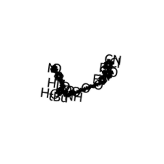 CC(C)(C)[C@H](NC(=O)COCCCOCCCCOc1ccc(N2C(=S)N(c3cc(Cl)c(C#N)cc3F)C(=O)C2(C)C)cc1F)C(=O)N1C[C@H](O)CC1C(=O)NCc1ccc(-c2cnco2)cc1